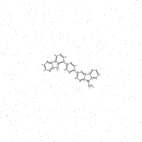 Cn1c2ccccc2c2cc(-c3ccc(-c4cccc5c4oc4ccccc45)cc3)ccc21